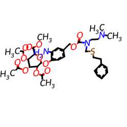 COC(=O)C1O[C@H](Oc2ccc(COC(=O)N(CCN(C)C)CSCCc3ccccc3)cc2N)C(OC(C)=O)[C@@H](OC(C)=O)C1OC(C)=O